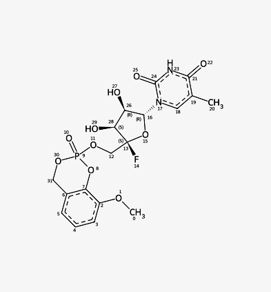 COc1cccc2c1OP(=O)(OC[C@@]1(F)O[C@@H](n3cc(C)c(=O)[nH]c3=O)[C@H](O)[C@@H]1O)OC2